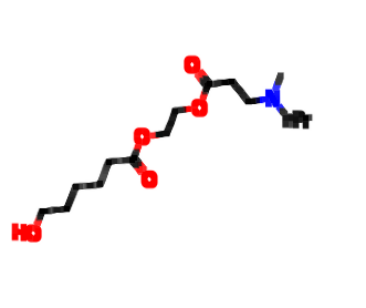 CCCN(C)CCC(=O)OCCOC(=O)CCCCCO